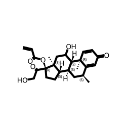 C=CC(=O)O[C@]1(C(=O)CO)CC[C@H]2[C@@H]3C[C@H](C)C4=CC(=O)C=C[C@]4(C)[C@H]3C(O)C[C@@]21C